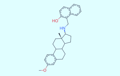 COc1ccc2c(c1)CCC1C2CC[C@@]2(C)C1CC[C@@H]2NCc1c(O)ccc2ccccc12